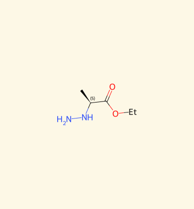 CCOC(=O)[C@H](C)NN